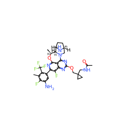 CC(=O)NCC1(COc2nc3c4c(nc(-c5cc(N)c(F)c(C)c5C(F)(F)F)c(F)c4n2)O[C@@H](C)[C@@H]2[C@@H]4CC[C@H](CN32)N4)CC1